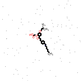 CCCCCC/C=C/c1ccc(C=CC(=O)c2ccc(OCC=C(C)C)cc2OCC(=O)O)cc1